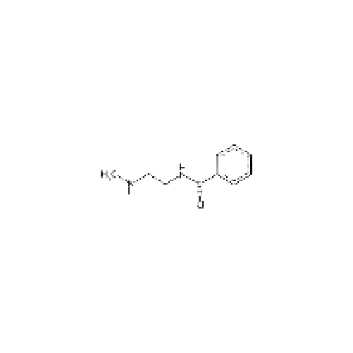 CNCCN[SiH](Cl)c1ccccc1